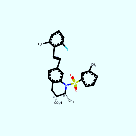 Cc1cccc(S(=O)(=O)N2c3cc(/C=C/c4c(F)cccc4C(F)(F)F)ccc3C[C@@H](C(=O)O)[C@H]2C)c1